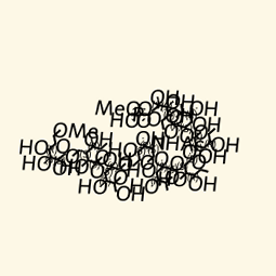 COCC1OC(OC[C@@H]2C(O)[C@H](O[C@H]3[C@H](O)C(CO)OC(OCC4OC(O[C@H]5C(O)[C@@H](O)C(C)O[C@H]5O[C@H]5C(O)[C@@H](O)C(C)O[C@H]5O[C@H]5C(O)[C@@H](O)C(C)O[C@H]5O[C@H]5C(O)[C@@H](O)C(C)O[C@H]5OCC5OC(OP(=O)(O)OC)[C@@H](O)[C@@H](O)[C@H]5O)[C@@H](NC(C)=O)[C@@H](O)[C@@H]4O)[C@H]3O)OC(C)[C@@H]2O)[C@@H](O)[C@@H](O)[C@H]1O